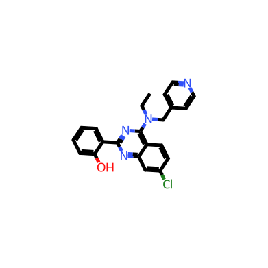 CCN(Cc1ccncc1)c1nc(-c2ccccc2O)nc2cc(Cl)ccc12